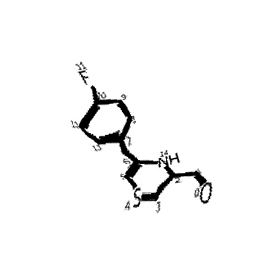 O=CC1CSC=C(c2ccc(F)cc2)N1